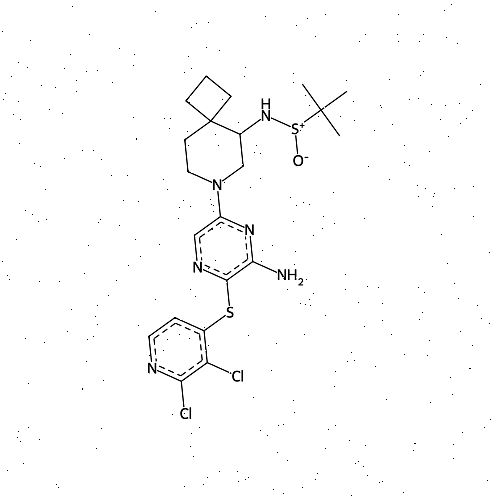 CC(C)(C)[S+]([O-])NC1CN(c2cnc(Sc3ccnc(Cl)c3Cl)c(N)n2)CCC12CCC2